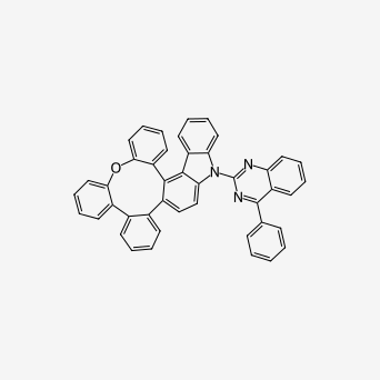 c1ccc(-c2nc(-n3c4ccccc4c4c5c6ccccc6oc6ccccc6c6ccccc6c5ccc43)nc3ccccc23)cc1